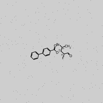 [CH2][C@H](Br)[C@@H](OC(=O)c1ccc(-c2ccccc2)cc1)[C@H](F)C=O